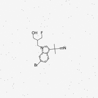 CC(C)(C#N)c1cn(CC(CO)CF)c2cc(Br)ccc12